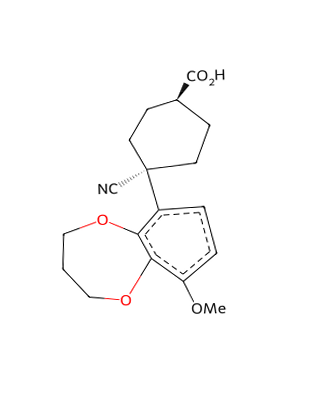 COc1ccc([C@]2(C#N)CC[C@H](C(=O)O)CC2)c2c1OCCCO2